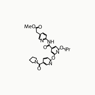 COC(=O)Cc1ccc(NC(=O)c2cc(Oc3ccc(C(=O)N4CCCC4)cn3)nc(OC(C)C)c2)nc1